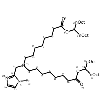 CCCCCCCCC(CCCCCCCC)OC(=O)CCCCCCCN(CCCCCCCC(=O)OC(CCCCCCCC)CCCCCCCC)Cc1nccn1CC